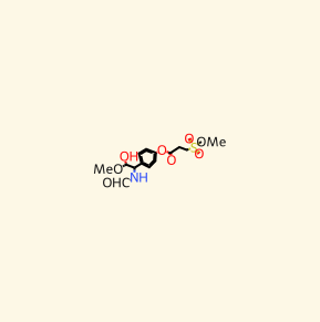 COC(O)C(NC=O)c1ccc(OC(=O)CCS(=O)(=O)OC)cc1